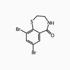 O=C1NCCSc2c(Br)cc(Br)cc21